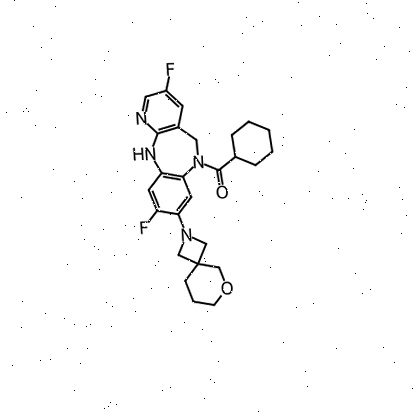 O=C(C1CCCCC1)N1Cc2cc(F)cnc2Nc2cc(F)c(N3CC4(CCCOC4)C3)cc21